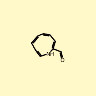 O=Cc1ccccccc[nH]1